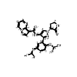 O=C(Nc1cn([C@H]2CCOC2=O)nc1-c1cc(SC(F)F)ccc1OC(F)F)c1cnn2cccnc12